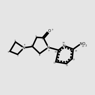 O=C1CC(N2CCC2)CN1c1cccc([N+](=O)[O-])n1